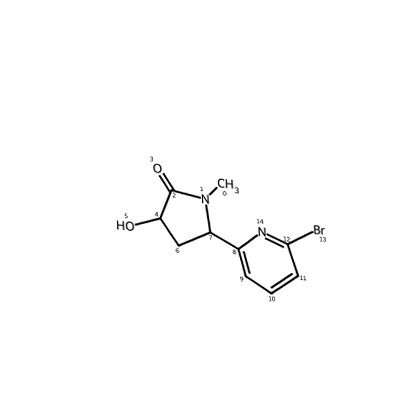 CN1C(=O)C(O)CC1c1cccc(Br)n1